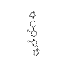 O=C1O[C@H](C[N+]2C=CN=N2)CN1c1ccc(N2CCC(n3ncnn3)CC2)c(F)c1